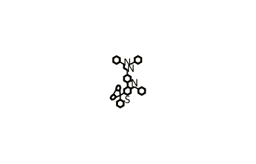 c1ccc(-c2cc(-c3ccc4c(c3)nc(-c3ccccc3)c3cc5c(cc34)C3(c4ccccc4S5)c4ccccc4-c4ccccc43)nc(-c3ccccc3)n2)cc1